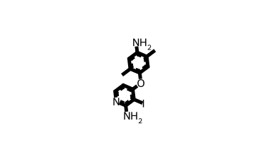 Cc1cc(Oc2ccnc(N)c2I)c(C)cc1N